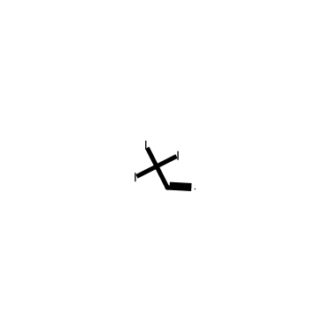 [CH]=CC(I)(I)I